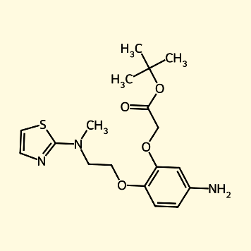 CN(CCOc1ccc(N)cc1OCC(=O)OC(C)(C)C)c1nccs1